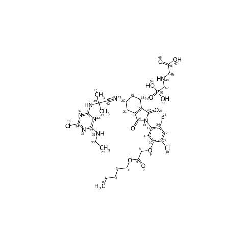 CCCCCOC(=O)COc1cc(N2C(=O)C3=C(CCCC3)C2=O)c(F)cc1Cl.CCNc1nc(Cl)nc(NC(C)(C)C#N)n1.O=C(O)CNCP(=O)(O)O